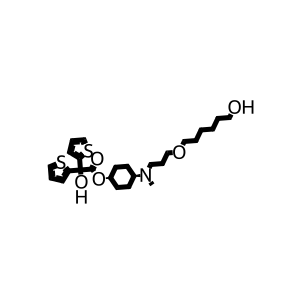 CN(CCCOCCCCCCO)[C@H]1CC[C@H](OC(=O)C(O)(c2cccs2)c2cccs2)CC1